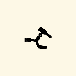 C#CC.C=CC(=O)O